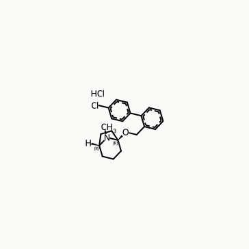 CN1[C@@H]2CCC[C@@]1(OCc1ccccc1-c1ccc(Cl)cc1)CC2.Cl